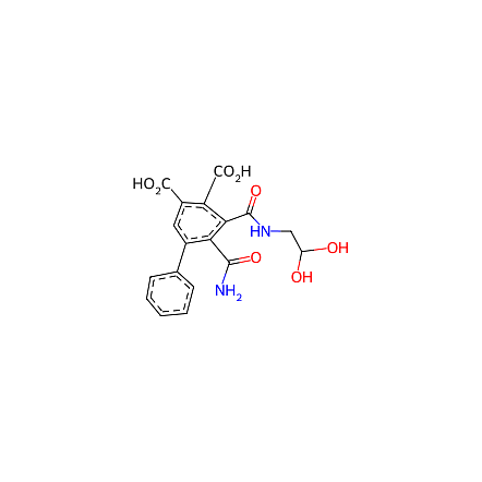 NC(=O)c1c(-c2ccccc2)cc(C(=O)O)c(C(=O)O)c1C(=O)NCC(O)O